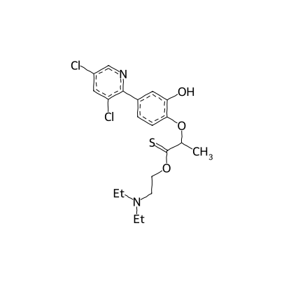 CCN(CC)CCOC(=S)C(C)Oc1ccc(-c2ncc(Cl)cc2Cl)cc1O